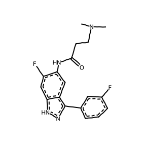 CN(C)CCC(=O)Nc1cc2c(-c3cccc(F)c3)n[nH]c2cc1F